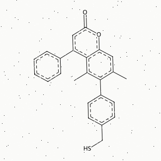 Cc1cc2oc(=O)cc(-c3ccccc3)c2c(C)c1-c1ccc(CS)cc1